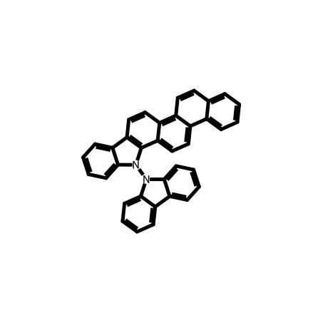 c1ccc2c(c1)ccc1c2ccc2c1ccc1c3ccccc3n(-n3c4ccccc4c4ccccc43)c21